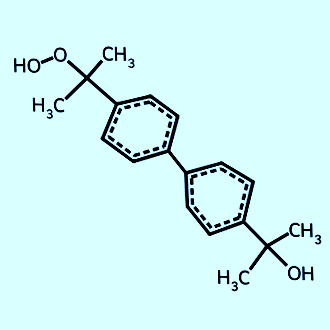 CC(C)(O)c1ccc(-c2ccc(C(C)(C)OO)cc2)cc1